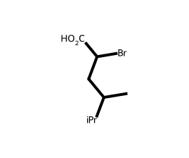 CC(C)C(C)CC(Br)C(=O)O